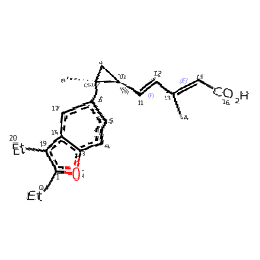 CCc1oc2ccc([C@@]3(C)C[C@H]3/C=C/C(C)=C/C(=O)O)cc2c1CC